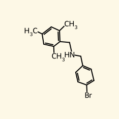 Cc1cc(C)c(CNCc2ccc(Br)cc2)c(C)c1